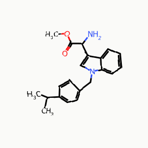 COC(=O)C(N)c1cn(Cc2ccc(C(C)C)cc2)c2ccccc12